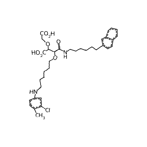 Cc1ccc(NCCCCCCOC(C(=O)NCCCCCCc2ccc3ccccc3c2)C(OCC(=O)O)C(=O)O)cc1Cl